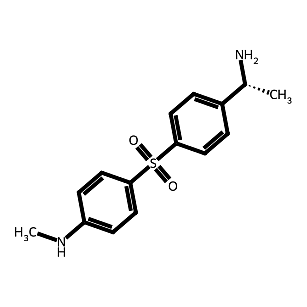 CNc1ccc(S(=O)(=O)c2ccc([C@@H](C)N)cc2)cc1